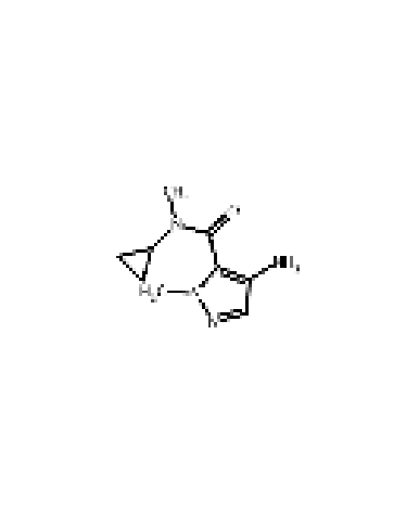 CN(C(=O)c1c(N)cnn1C)C1CC1